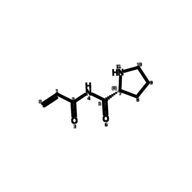 C=CC(=O)NC(=O)[C@H]1CCCN1